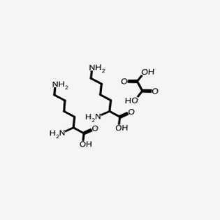 NCCCCC(N)C(=O)O.NCCCCC(N)C(=O)O.O=C(O)C(=O)O